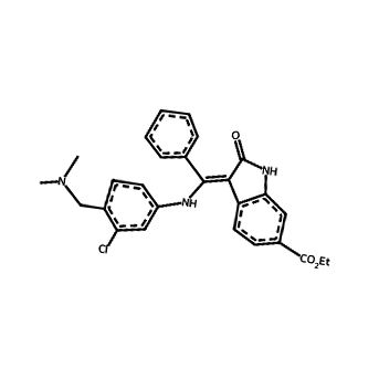 CCOC(=O)c1ccc2c(c1)NC(=O)C2=C(Nc1ccc(CN(C)C)c(Cl)c1)c1ccccc1